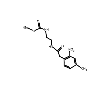 Cc1ccc(CC(=O)NCCNC(=O)OC(C)(C)C)c([N+](=O)[O-])c1